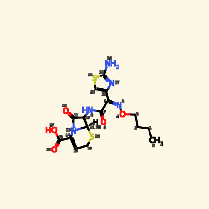 CCCCO/N=C(\C(=O)NC1C(=O)N2C(C(=O)O)=CCS[C@H]12)c1csc(N)n1